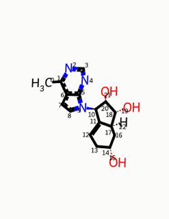 Cc1ncnc2c1ccn2[C@@H]1C2=CC[C@@H](O)C[C@@H]2[C@@H](O)[C@H]1O